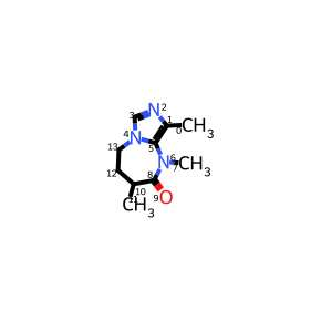 Cc1ncn2c1N(C)C(=O)C(C)CC2